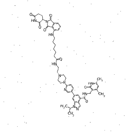 Cc1cc(C)c(CNC(=O)c2cc(-c3ccc(N4CCN(CCNC(=O)CCCCCCNc5cccc6c5C(=O)N(C5CCC(=O)NC5=O)C6=O)CC4)nc3)cc3c2cnn3C(C)C)c(=O)[nH]1